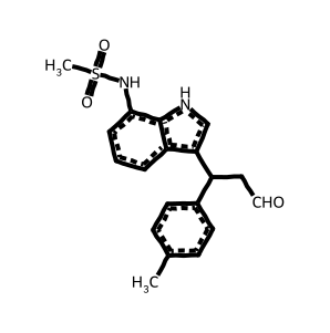 Cc1ccc(C(CC=O)c2c[nH]c3c(NS(C)(=O)=O)cccc23)cc1